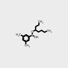 CCCCC(CCC)OB(O)c1cc(C)cc(C)c1